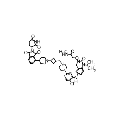 CNC(=O)CON1Cc2cc(Nc3nc(N4CCN(CC5CC(N6CCC(c7cccc8c7C(=O)N([C@H]7CCC(=O)NC7=O)C8=O)CC6)C5)CC4)ncc3Cl)ccc2N(C(C)C)C1=O